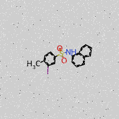 Cc1ccc(S(=O)(=O)Nc2cccc3ccccc23)cc1I